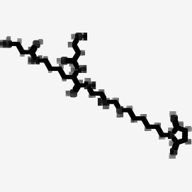 O=C(CCO)NCCCCC(NC(=O)CCO)C(=O)NCCNCOCCCCCCN1C(=O)C=CC1=O